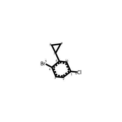 Clc1ccc(Br)c(C2CC2)c1